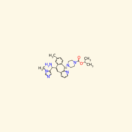 Cc1ccc2c(c1)C(C(N)c1cncn1C)=Cc1cccnc1[C@H]2N1CCN(C(=O)OC(C)C)CC1